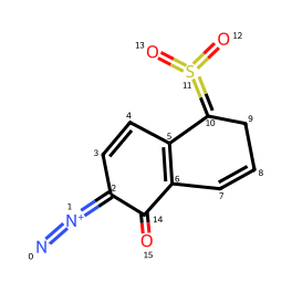 [N-]=[N+]=C1C=CC2=C(C=CCC2=S(=O)=O)C1=O